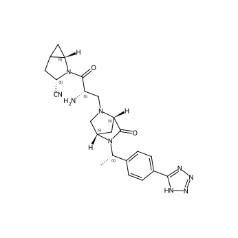 C[C@@H](c1ccc(-c2nnn[nH]2)cc1)N1C(=O)[C@@H]2C[C@H]1CN2C[C@H](N)C(=O)N1[C@H](C#N)CC2C[C@@H]21